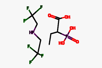 CCC(C(=O)O)P(=O)(O)O.FC(F)(F)CPCC(F)(F)F